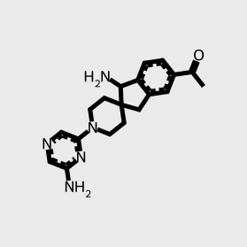 CC(=O)c1ccc2c(c1)CC1(CCN(c3cncc(N)n3)CC1)C2N